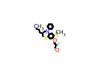 CCCCC1CSc2cc(O/C=C(\F)C=O)c(SC)cc2N(c2ccccc2)C1